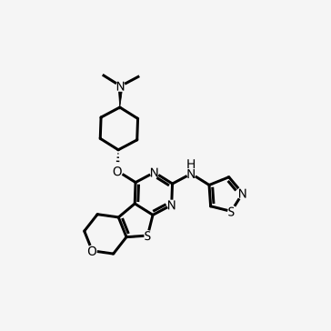 CN(C)[C@H]1CC[C@H](Oc2nc(Nc3cnsc3)nc3sc4c(c23)CCOC4)CC1